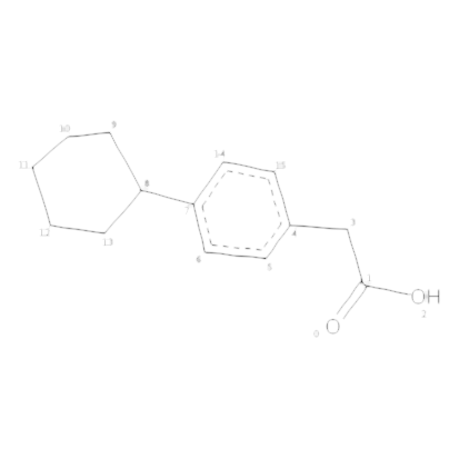 O=C(O)Cc1ccc(C2CCCCC2)cc1